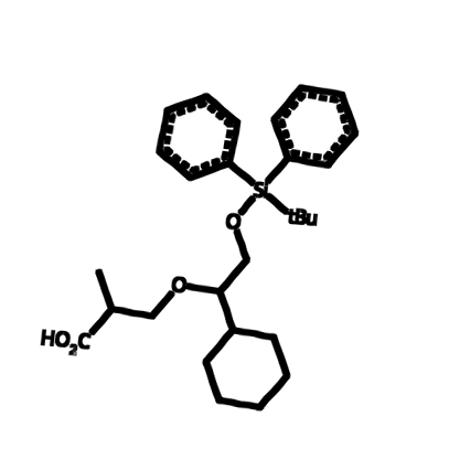 CC(COC(CO[Si](c1ccccc1)(c1ccccc1)C(C)(C)C)C1CCCCC1)C(=O)O